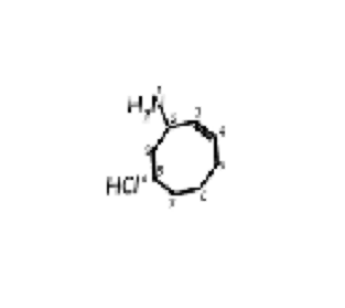 Cl.NC1C=CCCCCC1